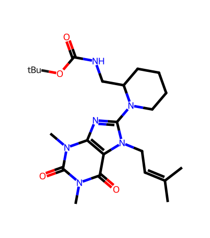 CC(C)=CCn1c(N2CCCCC2CNC(=O)OC(C)(C)C)nc2c1c(=O)n(C)c(=O)n2C